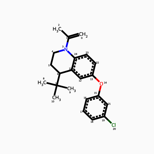 C=C(C)N1CCC(C(C)(C)C)c2cc(Oc3cccc(Cl)c3)ccc21